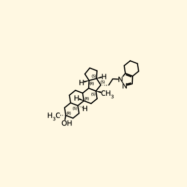 C[C@@]1(O)CC[C@H]2C(CCC3C4[C@@H]5CCC[C@@H]5[C@H](CCn5ncc6c5CCCC6)[C@]4(C)CC[C@@H]32)C1